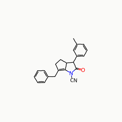 Cc1cccc(C2C(=O)N(C#N)C3=C(Cc4ccccc4)CCC32)c1